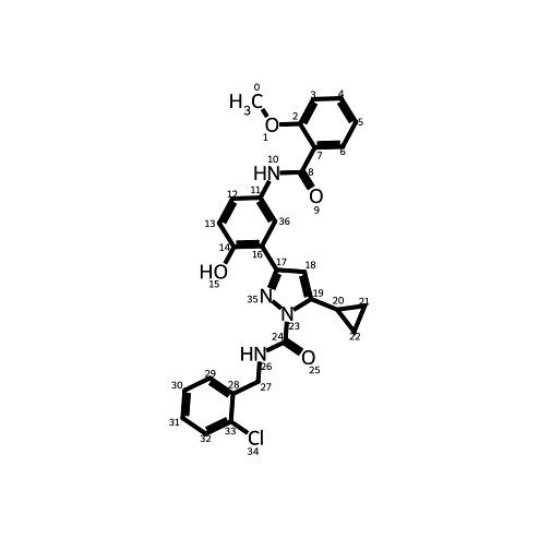 COc1ccccc1C(=O)Nc1ccc(O)c(-c2cc(C3CC3)n(C(=O)NCc3ccccc3Cl)n2)c1